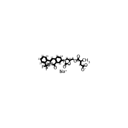 CC(CC(=O)[O-])C(=O)OCC1CN(c2ccc3cc(-c4ccccc4C(F)(F)F)[nH]c(=O)c3c2)C(=O)O1.[Na+]